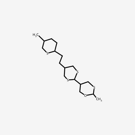 CC1CCC(CCC2CSC(C3COC(C)SC3)SC2)SC1